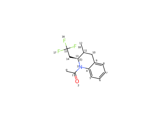 CC(=O)N1c2ccccc2CC(C)[C@@H]1CC(F)(F)F